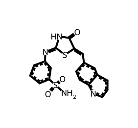 NS(=O)(=O)c1cccc(/N=C2/NC(=O)/C(=C/c3ccc4ncccc4c3)S2)c1